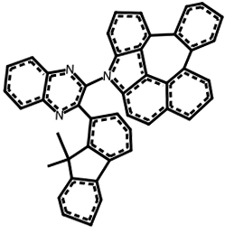 CC1(C)c2ccccc2-c2cccc(-c3nc4ccccc4nc3-n3c4cccc5c4c4c6c(cccc6ccc43)-c3ccccc3-5)c21